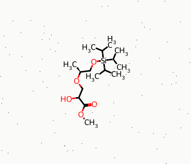 COC(=O)C(O)CO[C@@H](C)CO[Si](C(C)C)(C(C)C)C(C)C